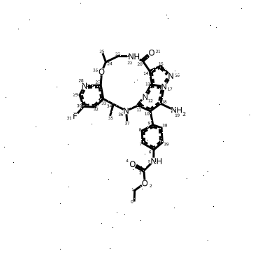 CCOC(=O)Nc1ccc(-c2c3nc4c(cnn4c2N)C(=O)NCC(C)Oc2ncc(F)cc2C(C)N3C)cc1